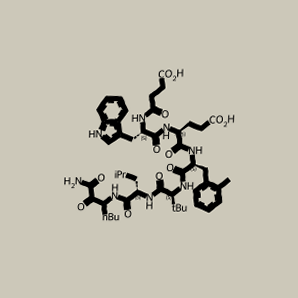 CCCCC(NC(=O)[C@H](CC(C)C)NC(=O)[C@@H](NC(=O)[C@H](Cc1ccccc1C)NC(=O)[C@H](CCC(=O)O)NC(=O)[C@H](Cc1c[nH]c2ccccc12)NC(=O)CCC(=O)O)C(C)(C)C)C(=O)C(N)=O